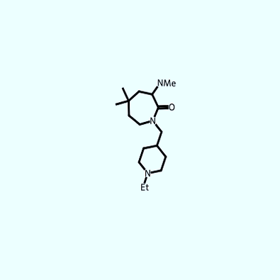 CCN1CCC(CN2CCC(C)(C)CC(NC)C2=O)CC1